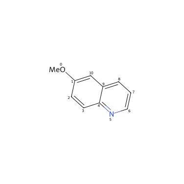 [CH2-][OH+]c1ccc2ncccc2c1